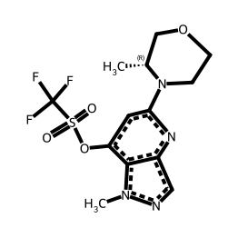 C[C@@H]1COCCN1c1cc(OS(=O)(=O)C(F)(F)F)c2c(cnn2C)n1